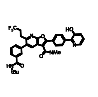 CNC(=O)c1c(-c2ccc(-c3ncccc3O)cc2)oc2nc(CCC(F)(F)F)c(-c3cccc(C(=O)NC(C)(C)C)c3)cc12